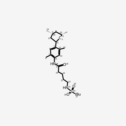 Cc1cc(C2C[C@@H](C)C[C@@H](C)C2)c(C)cc1NC(=O)CCCCNS(=O)(=O)C(C)(C)C